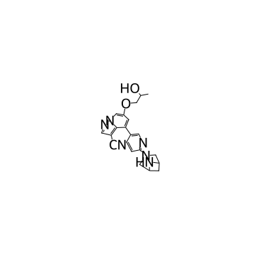 CC(O)COc1cc(-c2ccc(N3CC4CC(C3)N4)nc2)c2c(C#N)cnn2c1